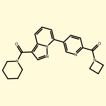 O=C(c1ccc(-c2cccc3c(C(=O)N4CCCCC4)cnn23)cn1)N1CCC1